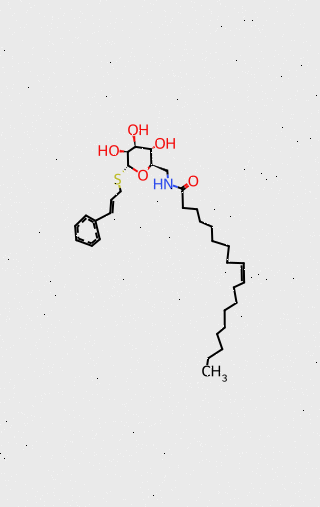 CCCCCCCC/C=C\CCCCCCCC(=O)NC[C@H]1O[C@H](SCC=Cc2ccccc2)[C@@H](O)[C@@H](O)[C@@H]1O